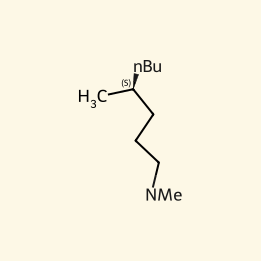 CCCC[C@H](C)CCCNC